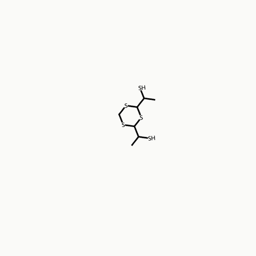 CC(S)C1SCSC(C(C)S)S1